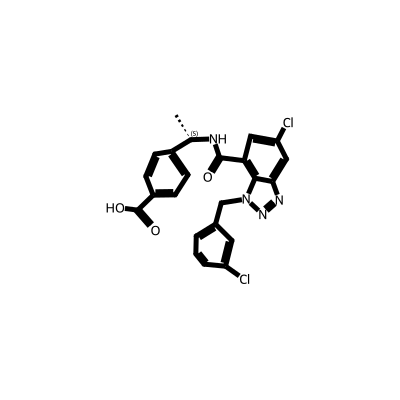 C[C@H](NC(=O)c1cc(Cl)cc2nnn(Cc3cccc(Cl)c3)c12)c1ccc(C(=O)O)cc1